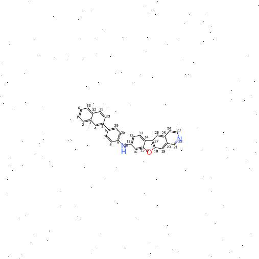 c1ccc2cc(-c3ccc(Nc4ccc5c(c4)oc4cc6cnccc6cc45)cc3)ccc2c1